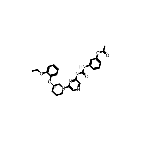 CCOc1ccccc1O[C@@H]1CCCN(c2cncc(NC(=O)Nc3cccc(OC(C)=O)c3)n2)C1